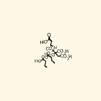 CC(=O)OC(CC(=O)O)(CC(=O)O)C(=O)O.CCCC(=O)O.CCCC(=O)O.CCCC(=O)O